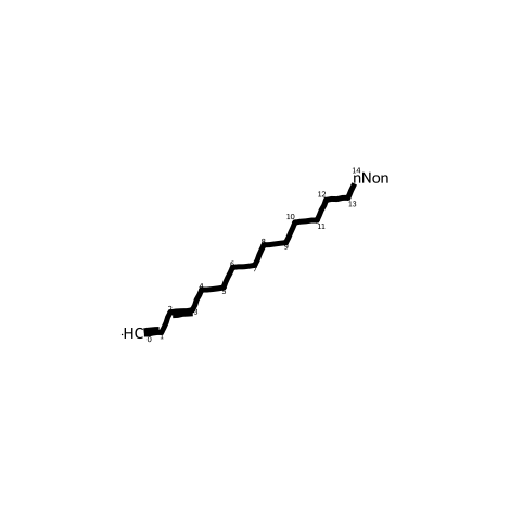 [CH]=CC=CCCCCCCCCCCCCCCCCCCC